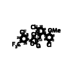 COc1ccc(Cl)cc1-c1ccc(Cl)nc1CN1C(=O)O[C@H](c2cc(C(F)(F)F)cc(C(F)(F)F)c2)[C@@H]1C